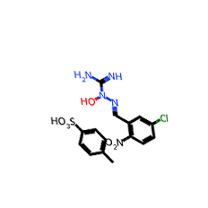 Cc1ccc(S(=O)(=O)O)cc1.N=C(N)N(O)/N=C/c1cc(Cl)ccc1[N+](=O)[O-]